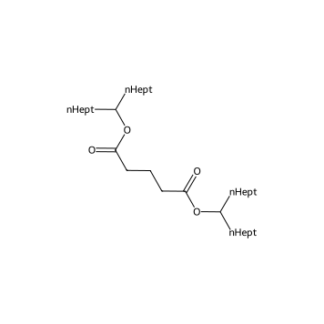 CCCCCCCC(CCCCCCC)OC(=O)CCCC(=O)OC(CCCCCCC)CCCCCCC